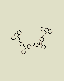 C(=C\c1c2ccccc2cc2ccccc12)/c1ccc(N(c2ccccc2)c2ccc(-c3ccc(N(c4ccccc4)c4ccc(/C=C/c5c6ccccc6cc6ccccc56)cc4)cc3)cc2)cc1